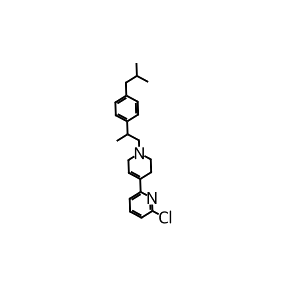 CC(C)Cc1ccc(C(C)CN2CC=C(c3cccc(Cl)n3)CC2)cc1